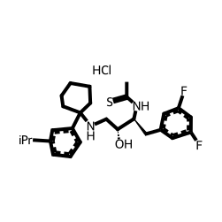 CC(=S)N[C@@H](Cc1cc(F)cc(F)c1)[C@H](O)CNC1(c2cccc(C(C)C)c2)CCCCC1.Cl